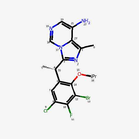 Cc1nc([C@@H](C)c2cc(Cl)c(F)c(Br)c2OC(C)C)n2cncc(N)c12